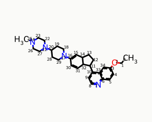 CCOc1ccc2nccc(C3CCC4C=C(N5CCC(N6CCN(C)CC6)CC5)C=CC43)c2c1